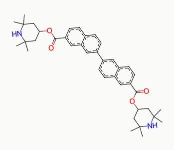 CC1(C)CC(OC(=O)c2ccc3cc(-c4ccc5ccc(C(=O)OC6CC(C)(C)NC(C)(C)C6)cc5c4)ccc3c2)CC(C)(C)N1